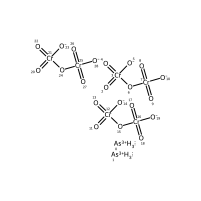 [AsH3+3].[AsH3+3].[O]=[Cr](=[O])([O-])[O][Cr](=[O])(=[O])[O-].[O]=[Cr](=[O])([O-])[O][Cr](=[O])(=[O])[O-].[O]=[Cr](=[O])([O-])[O][Cr](=[O])(=[O])[O-]